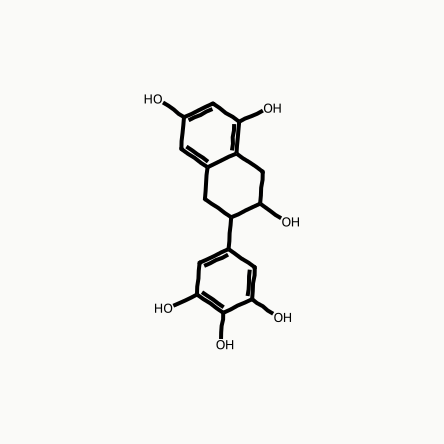 Oc1cc(O)c2c(c1)CC(c1cc(O)c(O)c(O)c1)C(O)C2